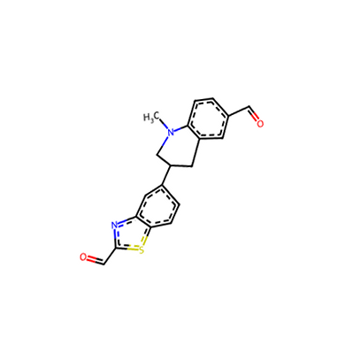 CN1CC(c2ccc3sc(C=O)nc3c2)Cc2cc(C=O)ccc21